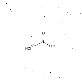 CCCN(C=O)CC.Cl